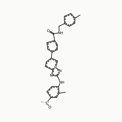 Cc1ccc(CNC(=O)c2ccc(-c3ccc4nc(Nc5ccc([S@@+](C)[O-])cc5C)nn4c3)cc2)cc1